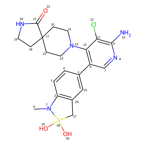 CN1c2ccc(-c3cnc(N)c(Cl)c3N3CCC4(CCNC4=O)CC3)cc2CS1(O)O